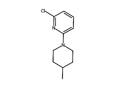 CC1CCN(c2cccc(Cl)n2)CC1